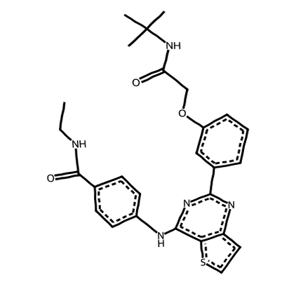 CCNC(=O)c1ccc(Nc2nc(-c3cccc(OCC(=O)NC(C)(C)C)c3)nc3ccsc23)cc1